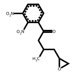 CC(CC(=O)c1cccc([N+](=O)[O-])c1[N+](=O)[O-])CC1CO1